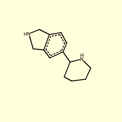 c1cc2c(cc1C1CCCCN1)CNC2